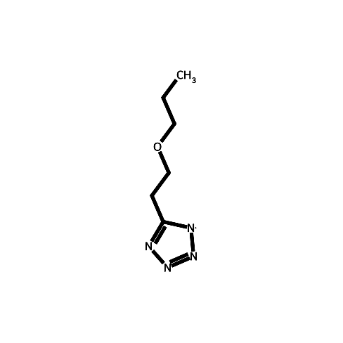 CCCOCCC1=NN=N[N]1